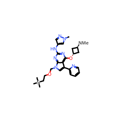 CN[C@H]1C[C@H](Oc2nc(Nc3cnn(C)c3)nc3c2c(-c2ccccn2)cn3COCC[Si](C)(C)C)C1